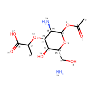 CC(=O)OC1O[C@H](CO)[C@@H](O)[C@H](OC(C)C(=O)O)[C@H]1N.N